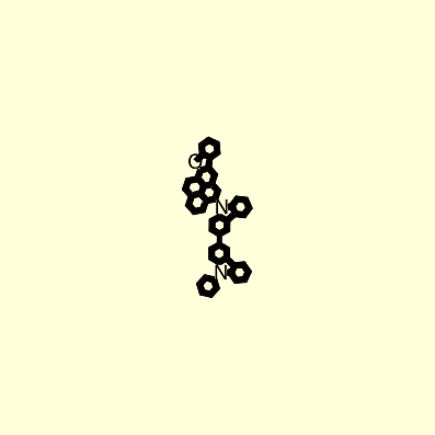 c1ccc(-n2c3ccccc3c3cc(-c4ccc5c(c4)c4ccccc4n5-c4cc5cc6c7ccccc7oc6c6ccc7cccc4c7c56)ccc32)cc1